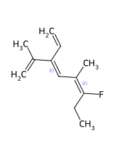 C=C/C(=C\C(C)=C(\F)CC)C(=C)C